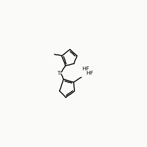 CC1=[C]([Ti][C]2=C(C)C=CC2)CC=C1.F.F